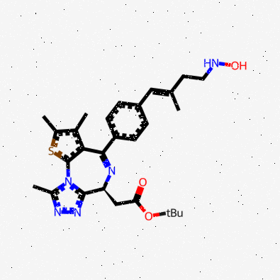 C/C(=C\c1ccc(C2=N[C@@H](CC(=O)OC(C)(C)C)c3nnc(C)n3-c3sc(C)c(C)c32)cc1)CCNO